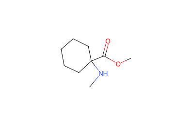 CNC1(C(=O)OC)CCCCC1